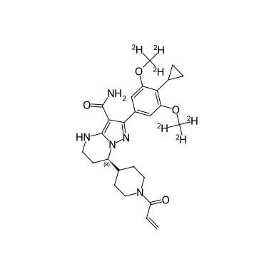 [2H]C([2H])([2H])Oc1cc(-c2nn3c(c2C(N)=O)NCC[C@@H]3C2CCN(C(=O)C=C)CC2)cc(OC([2H])([2H])[2H])c1C1CC1